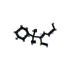 C=C/C(=C\C=C/C)C(O)(Cl)c1ccccc1